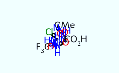 COc1cc(NC(=O)C(=O)NC[C@H](NC(=O)c2ccc(Nc3nc(NC4(c5ccc(Cl)cc5)CC4)nc(OCC(F)(F)F)n3)cc2)C(=O)O)ccn1